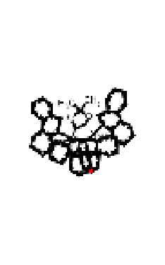 CC1(C)O[C@H](C(O)(c2cc3ccccc3c3ccccc23)c2cc3ccccc3c3ccccc23)[C@@H](C(O)(c2cc3ccccc3c3ccccc23)c2cc3ccccc3c3ccccc23)O1